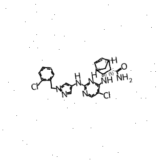 NC(=O)[C@@H]1[C@H](Nc2nc(Nc3cnn(Cc4ccccc4Cl)c3)ncc2Cl)[C@H]2C=C[C@@H]1C2